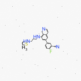 CSNCCCNc1cc(-c2ccc(F)c(C#N)c2)cc2ccncc12